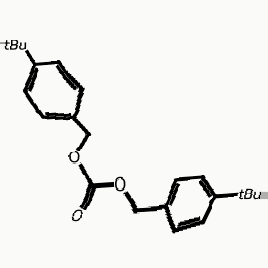 CC(C)(C)c1ccc(COC(=O)OCc2ccc(C(C)(C)C)cc2)cc1